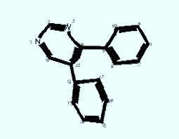 [c]1ncnc(-c2ccccc2)c1-c1ccccc1